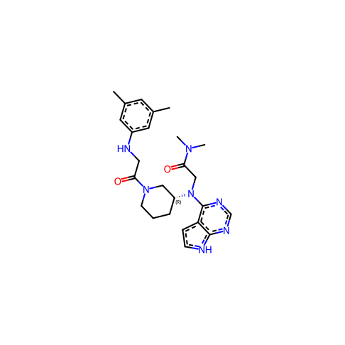 Cc1cc(C)cc(NCC(=O)N2CCC[C@@H](N(CC(=O)N(C)C)c3ncnc4[nH]ccc34)C2)c1